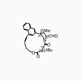 CO[C@@]12C[C@@H](C=O)N(C1)C(=O)[C@H](C(C)(C)C)NC(=O)OCCCC=Cc1cc2cc2ccccc12